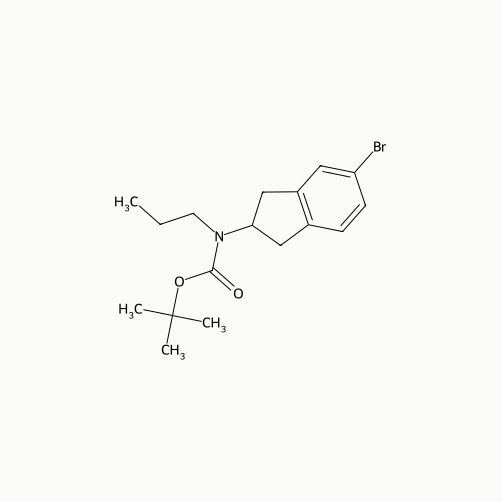 CCCN(C(=O)OC(C)(C)C)C1Cc2ccc(Br)cc2C1